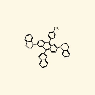 Cc1ccc(-c2c3ccc(N4CCCc5ccccc54)cc3c(-c3ccc4ccccc4c3)c3ccc(N4CCCc5ccccc54)cc23)cc1